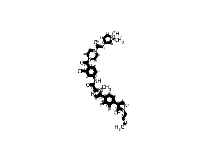 COCCn1ncc(-c2ccc(-c3cnc(C(=O)Nc4ccc(C(=O)N5CCN(C(=O)C[C@@H]6CC[N+](C)(C)C6)CC5)c(Cl)c4)n3C)c(F)c2F)c1C